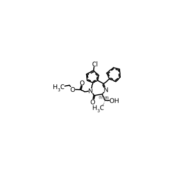 CCOC(=O)CN1C(=O)[C@H]([C@@H](C)O)N=C(c2ccccc2)c2cc(Cl)ccc21